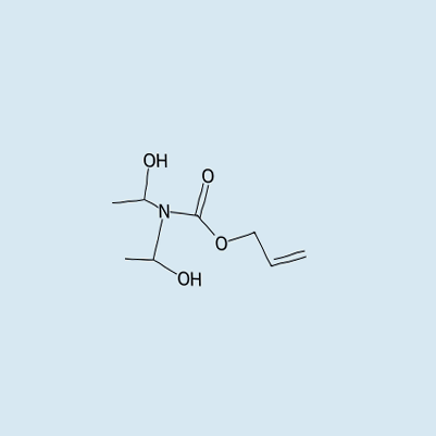 C=CCOC(=O)N(C(C)O)C(C)O